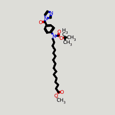 COC(=O)CCCCCCCCCCCCCCCN(C(=O)OC(C)(C)C)c1ccc(C(=O)n2ccnc2)cc1